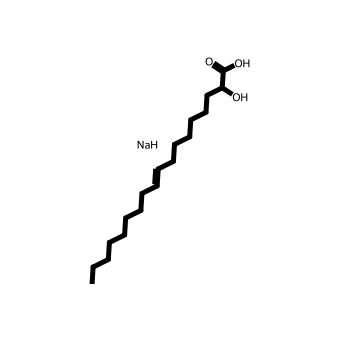 CCCCCCCCC=CCCCCCCC(O)C(=O)O.[NaH]